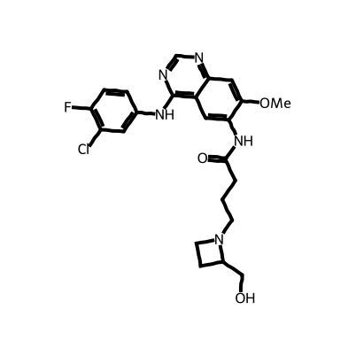 COc1cc2ncnc(Nc3ccc(F)c(Cl)c3)c2cc1NC(=O)CCCN1CCC1CO